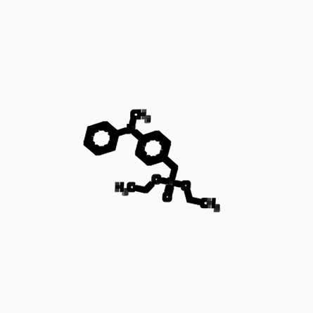 CCOP(=O)(Cc1ccc(N(C)c2ccccc2)cc1)OCC